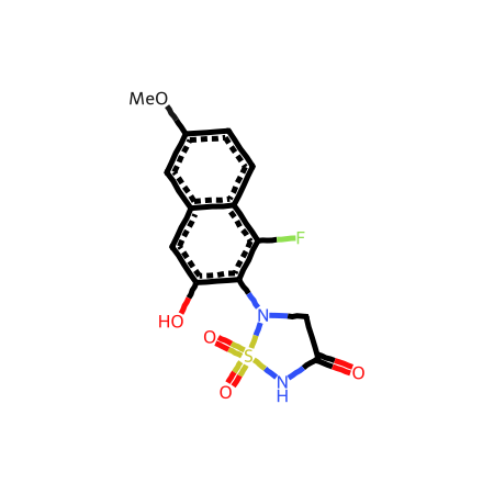 COc1ccc2c(F)c(N3CC(=O)NS3(=O)=O)c(O)cc2c1